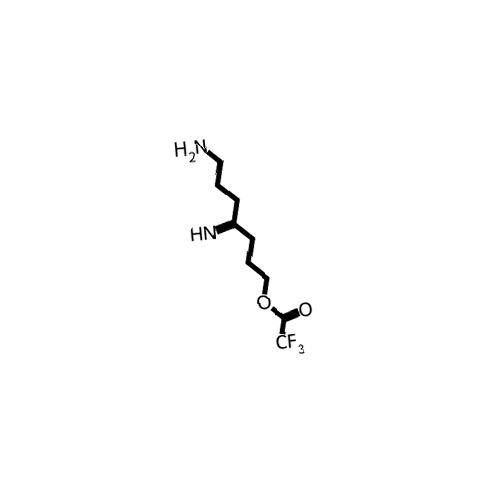 N=C(CCCN)CCCOC(=O)C(F)(F)F